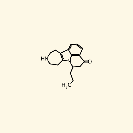 CCCC1CC(=O)c2cccc3c4c(n1c23)CCNCC4